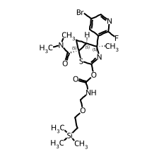 CN(C)C(=O)[C@]12C[C@H]1[C@@](C)(c1cc(Br)cnc1F)N=C(OC(=O)NCOCC[Si](C)(C)C)S2